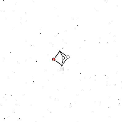 O1C23O[PH]1(O2)O3